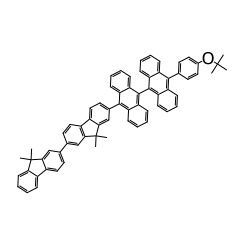 CC(C)(C)Oc1ccc(-c2c3ccccc3c(-c3c4ccccc4c(-c4ccc5c(c4)C(C)(C)c4cc(-c6ccc7c(c6)C(C)(C)c6ccccc6-7)ccc4-5)c4ccccc34)c3ccccc23)cc1